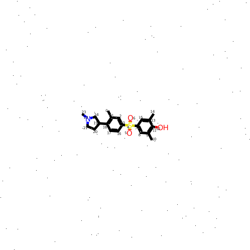 Cc1cc(S(=O)(=O)c2cc(C)c(O)c(C)c2)ccc1C1CCN(C)C1